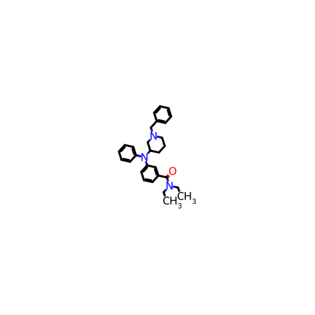 CCN(CC)C(=O)c1cccc(N(c2ccccc2)C2CCCN(Cc3ccccc3)C2)c1